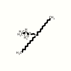 CCCCCCCCCCCCN(CCCCCCCCCCCC)CCOC(=O)NC(C)(C)C